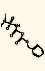 O=C(NS(=O)(=O)N(I)I)OC(=O)OCc1ccccc1